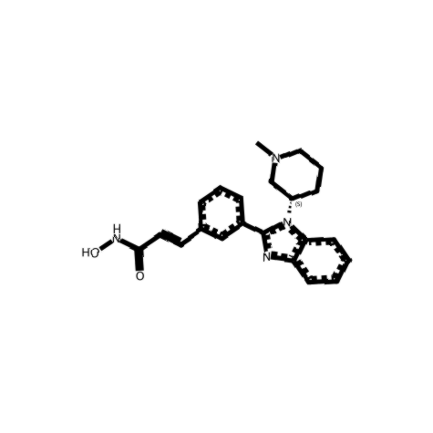 CN1CCC[C@H](n2c(-c3cccc(C=CC(=O)NO)c3)nc3ccccc32)C1